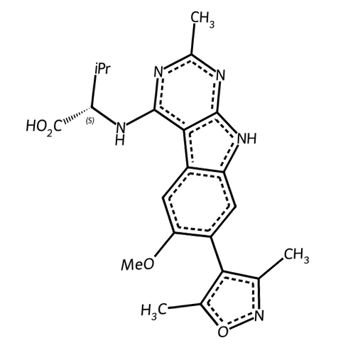 COc1cc2c(cc1-c1c(C)noc1C)[nH]c1nc(C)nc(N[C@H](C(=O)O)C(C)C)c12